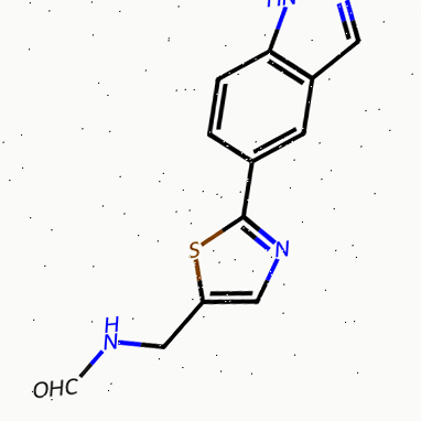 O=CNCc1cnc(-c2ccc3[nH]ncc3c2)s1